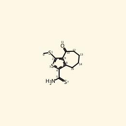 CSc1sc(C(N)=S)c2c1C(=O)CCCC2